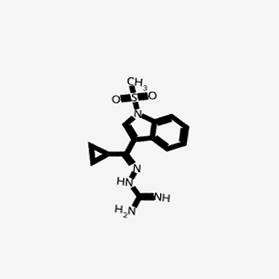 CS(=O)(=O)n1cc(C(=NNC(=N)N)C2CC2)c2ccccc21